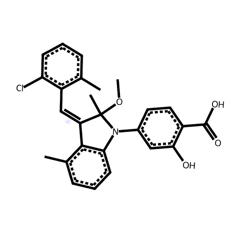 COC1(C)/C(=C\c2c(C)cccc2Cl)c2c(C)cccc2N1c1ccc(C(=O)O)c(O)c1